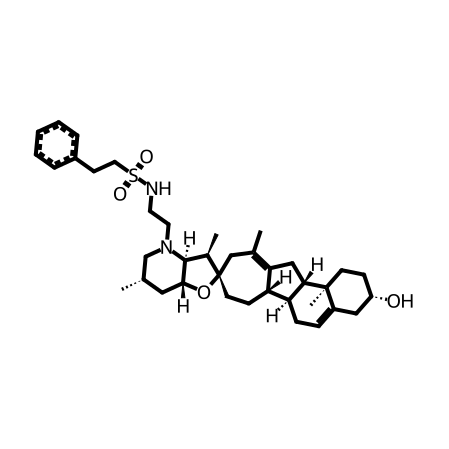 CC1=C2C[C@H]3[C@@H](CC=C4C[C@@H](O)CC[C@@]43C)[C@@H]2CC[C@@]2(C1)O[C@@H]1C[C@H](C)CN(CCNS(=O)(=O)CCc3ccccc3)[C@H]1[C@H]2C